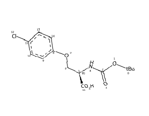 CC(C)(C)OC(=O)N[C@H](COc1ccc(Cl)cc1)C(=O)O